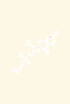 CCCS(=O)(=O)N1CC(CNC(=O)c2ccc(Cl)cc2Cl)(CC2CC2)C1